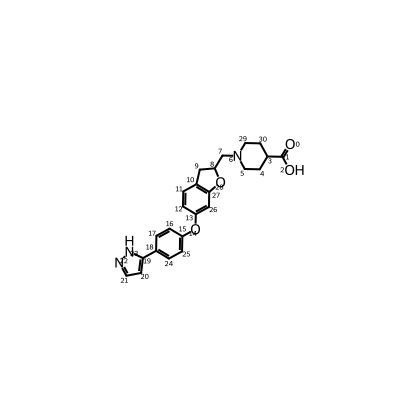 O=C(O)C1CCN(CC2Cc3ccc(Oc4ccc(-c5ccn[nH]5)cc4)cc3O2)CC1